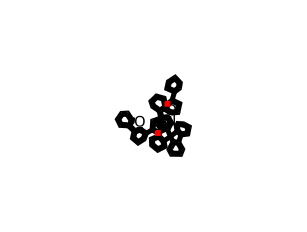 c1ccc(-c2ccc(N(c3ccc(-c4cccc5c4oc4ccccc45)cc3)c3cccc4c3C3(c5ccccc5-c5cc6c(cc53)oc3ccccc36)c3ccccc3-4)cc2)cc1